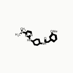 COc1cccc(CC(=O)NC2CCC(Nc3nccc(N(C)C)n3)CC2)c1